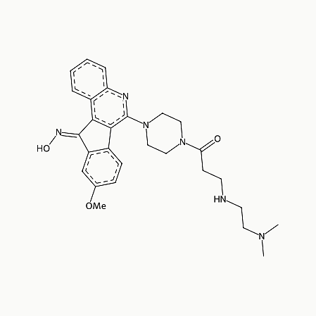 COc1ccc2c(c1)C(=NO)c1c-2c(N2CCN(C(=O)CCNCCN(C)C)CC2)nc2ccccc12